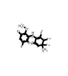 COc1c(F)cc(F)c(F)c1BC1=C(F)C(F)C(C)(F)C=C1F